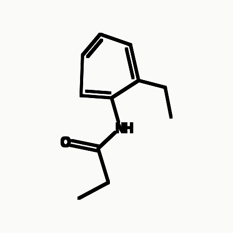 CCC(=O)Nc1ccccc1CC